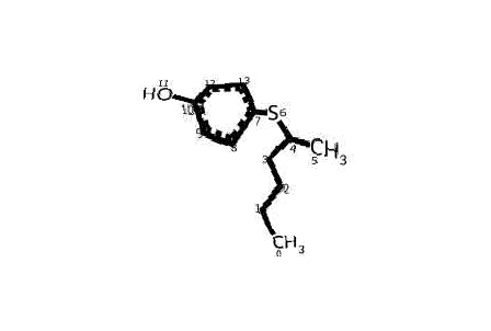 CCCCC(C)Sc1ccc(O)cc1